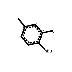 CCCCc1ccc(C)[c]c1C